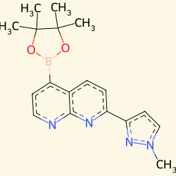 Cn1ccc(-c2ccc3c(B4OC(C)(C)C(C)(C)O4)ccnc3n2)n1